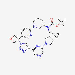 CC(C)(C)OC(=O)N(CC1CC1)[C@@H]1CCCN(c2ccc(C3(n4cc(-c5cncc(N6CCCC6)n5)nn4)COC3)cn2)C1